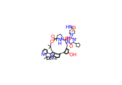 CCn1c(-c2cccnc2[C@H](C)OC)c2c3cc(ccc31)-c1cc(O)cc(c1)C[C@H](NC(=O)C(C1CCCC1)N(C)C(=O)N1CCS(=N)(=O)CC1)C(=O)N1CCC[C@H](N1)C(=O)OCC(C)(C)C2